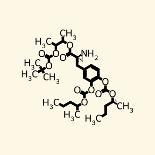 CCCC(C)OC(=O)Oc1cc(C[C@H](N)C(=O)OC(C)C(C)OC(=O)OC(C)(C)C)ccc1OC(=O)O[C@@H](C)CCC